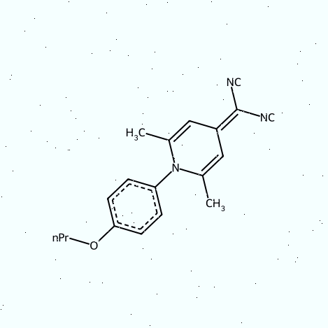 [C-]#[N+]C([N+]#[C-])=C1C=C(C)N(c2ccc(OCCC)cc2)C(C)=C1